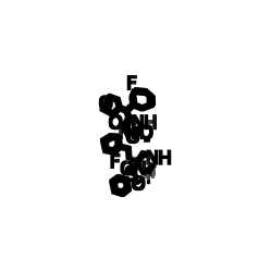 COC(=O)N[C@H](C(=O)Nc1cccc(F)c1CC[C@H]1CNC[C@H](C)N1S(=O)(=O)c1ccccc1)C(C1=CC(F)=CC#CC1)C1CCOCC1